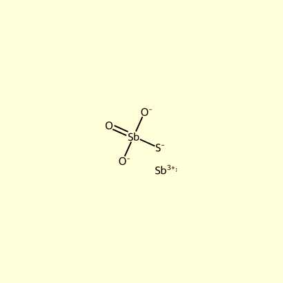 [O]=[Sb]([O-])([O-])[S-].[Sb+3]